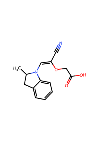 CC1Cc2ccccc2N1C=C(C#N)OCC(=O)O